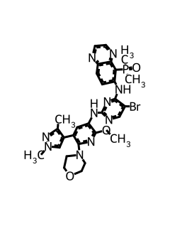 COc1nc(N2CCOCC2)c(-c2cn(C)nc2C)cc1Nc1ncc(Br)c(Nc2ccc3nccnc3c2P(C)(C)=O)n1